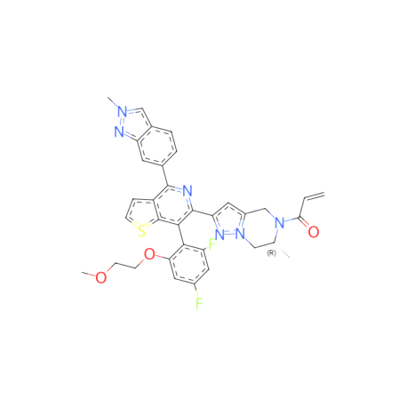 C=CC(=O)N1Cc2cc(-c3nc(-c4ccc5cn(C)nc5c4)c4ccsc4c3-c3c(F)cc(F)cc3OCCOC)nn2C[C@H]1C